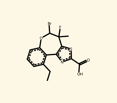 CCc1cccc2c1-c1nc(C(=O)O)sc1C(C)(F)C(Br)O2